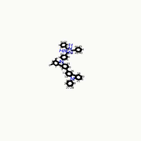 Cc1cc(C)c2c(c1)c1cc(-c3ccc4c(c3)c3ccccc3n4-c3ccccc3)ccc1n2-c1ccc(C2=NC(c3ccccc3)NC(c3ccccc3)N2)cc1